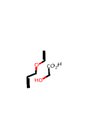 C=CCOC=C.O=C(O)CO